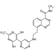 CNC(=O)c1ncnc2c(CCNc3cc(-c4c(S)nc(C)nc4S)ncn3)cccc12